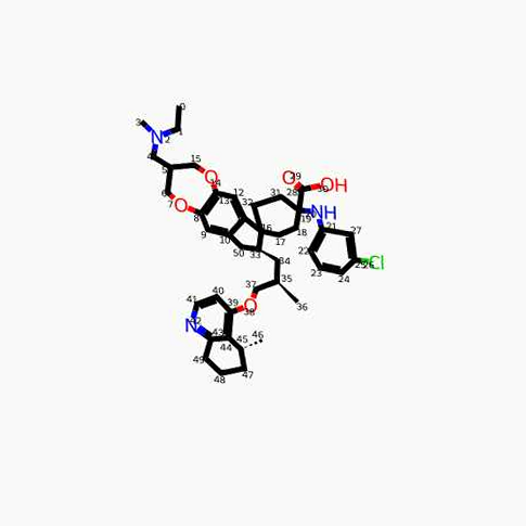 CCN(C)CC1COc2cc3c(cc2OC1)C1(CCC(Nc2cccc(Cl)c2)(C(=O)O)CC1)[C@@H](C[C@@H](C)COc1ccnc2c1[C@H](C)CCC2)C3